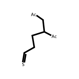 CC(=O)CC(CCC=S)C(C)=O